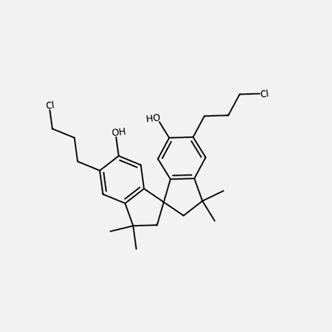 CC1(C)CC2(CC(C)(C)c3cc(CCCCl)c(O)cc32)c2cc(O)c(CCCCl)cc21